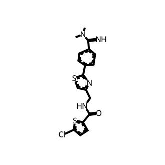 CN(C)C(=N)c1ccc(-c2nc(CNC(=O)c3ccc(Cl)s3)cs2)cc1